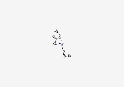 CC/C=C\CC/C=C(\C)CN(CC1CC1)C(=O)C1CC1